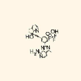 Cc1nc(-c2cccc(C#C[C@]3(O)CCc4cccnc43)c2)nc2c(N)nccc12.O=C(O)C(F)(F)F